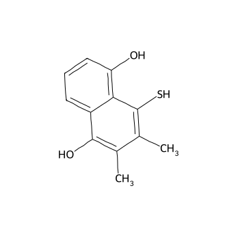 Cc1c(C)c(S)c2c(O)cccc2c1O